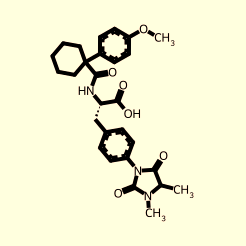 COc1ccc(C2(C(=O)N[C@@H](Cc3ccc(N4C(=O)C(C)N(C)C4=O)cc3)C(=O)O)CCCCC2)cc1